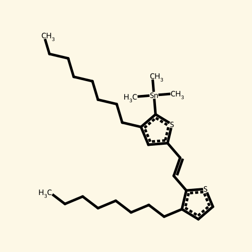 CCCCCCCCc1ccsc1C=Cc1cc(CCCCCCCC)[c]([Sn]([CH3])([CH3])[CH3])s1